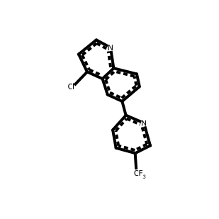 FC(F)(F)c1ccc(-c2ccc3nccc(Cl)c3c2)nc1